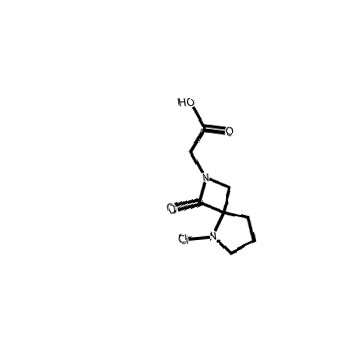 O=C(O)CN1CC2(CCCN2Cl)C1=O